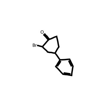 O=C1CCC(c2ccccc2)CC1Br